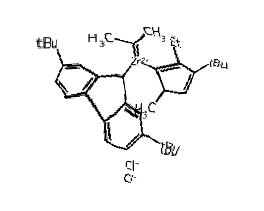 CCC1=[C]([Zr+2](=[C](C)C)[CH]2c3cc(C(C)(C)C)ccc3-c3ccc(C(C)(C)C)cc32)C(C)C=C1C(C)(C)C.[Cl-].[Cl-]